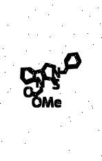 COC(=O)Cn1c2c(c3ccccc31)CCN(Cc1ccccc1)C2=S